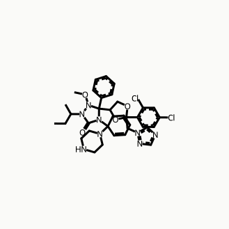 CCC(C)N1C(=O)N(C2(N3CCNCC3)C=CC=CC2)C(c2ccccc2)(C2COC(Cn3cncn3)(c3ccc(Cl)cc3Cl)O2)N1OC